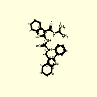 CC(C)OC(=O)c1c(NC(=O)NCc2c(-c3ccccc3)sc3c2CCCC3)sc2c1CCCC2